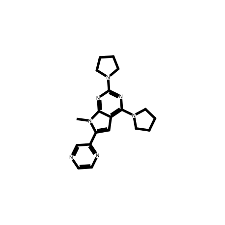 Cn1c(-c2cnccn2)cc2c(N3CCCC3)nc(N3CCCC3)nc21